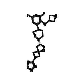 Fc1cc(F)c(OC2COC2)c(C2CCN([C@@H]3COC4(C3)CN(c3nnco3)C4)CC2)c1